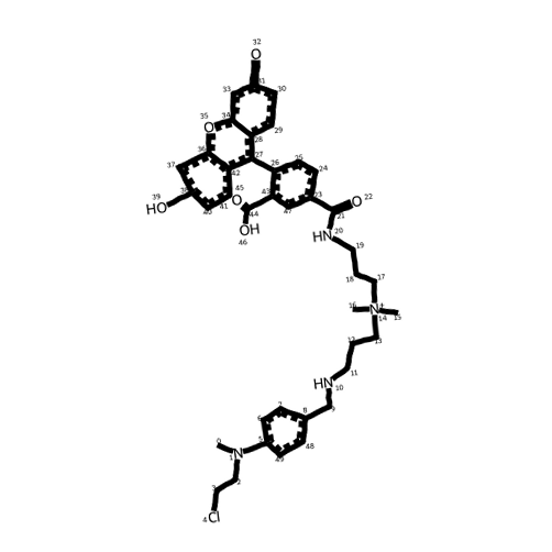 CN(CCCl)c1ccc(CNCCC[N+](C)(C)CCCNC(=O)c2ccc(-c3c4ccc(=O)cc-4oc4cc(O)ccc34)c(C(=O)O)c2)cc1